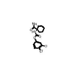 NC(=O)C1(NC(=O)Oc2ccc(Cl)c(Cl)c2)CCCCC1